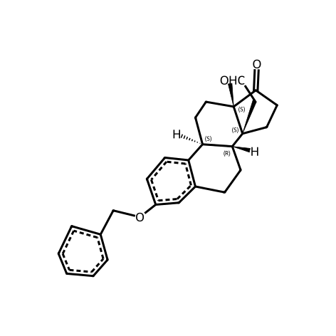 C[C@]12CC[C@@H]3c4ccc(OCc5ccccc5)cc4CC[C@H]3[C@@]1(CC=O)CCC2=O